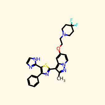 Cc1nn2ccc(OCCN3CCC(F)(F)CC3)cc2c1-c1nc(-c2ccccc2)c(-c2ncc[nH]2)s1